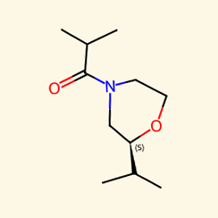 CC(C)C(=O)N1CCO[C@@H](C(C)C)C1